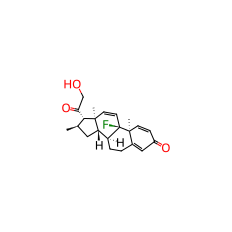 C[C@@H]1C[C@H]2[C@@H]3CCC4=CC(=O)C=C[C@]4(C)[C@@]3(F)C=C[C@]2(C)[C@H]1C(=O)CO